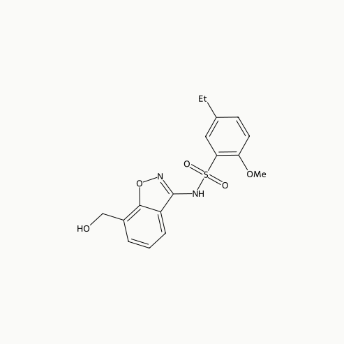 CCc1ccc(OC)c(S(=O)(=O)Nc2noc3c(CO)cccc23)c1